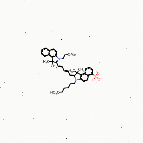 COCC[N+]1=C(/C=C/C=C/C=C2/N(CCCCCC(=O)O)c3ccc4c(S(=O)(=O)[O-])cccc4c3C2(C)C)C(C)(C)c2c1ccc1ccccc21